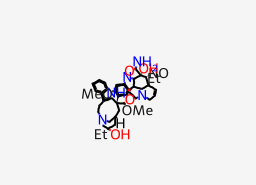 CC[C@]1(O)C[C@@H]2CN(CCc3c([nH]c4ccccc34)[C@@](C(=O)OC)(c3cc4c(cc3OC)N(C)C3[C@]45CCN4CC=C[C@](CC)(C45)[C@@H](N=O)[C@]3(O)C(N)=O)C2)C1